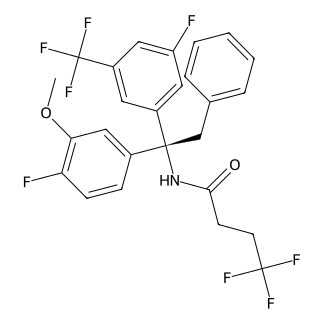 COc1cc([C@@](Cc2ccccc2)(NC(=O)CCC(F)(F)F)c2cc(F)cc(C(F)(F)F)c2)ccc1F